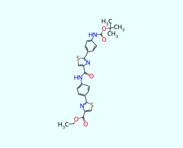 CCOC(=O)c1csc(-c2ccc(NC(=O)c3csc(-c4ccc(NC(=O)OC(C)(C)C)cc4)n3)cc2)n1